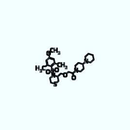 COc1cc(C)c(S(=O)(=O)N2CCSCC2COCC(=O)N2CCC(N3CCCCC3)CC2)c(C)c1